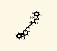 Cn1c2c(c3ccccc31)CN(CCCCNC(=O)c1nc3ccccc3[nH]1)CC2